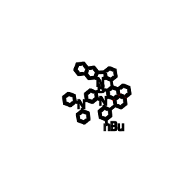 CCCCc1ccc(N2c3cc(N(c4ccccc4)c4ccccc4)ccc3B3c4c2cc2ccccc2c4-c2cccc4c5cc6ccccc6cc5n3c24)c(-c2ccccc2)c1